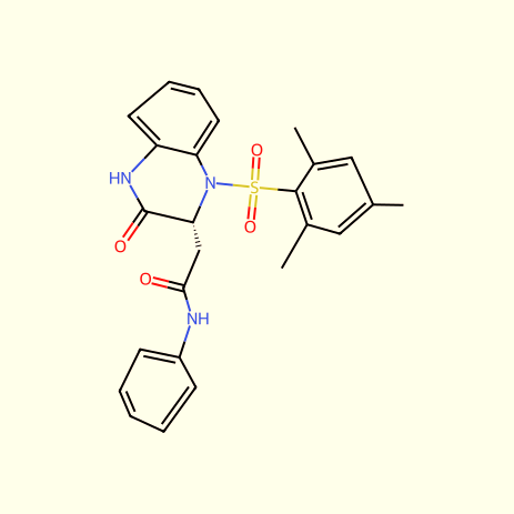 Cc1cc(C)c(S(=O)(=O)N2c3ccccc3NC(=O)[C@H]2CC(=O)Nc2ccccc2)c(C)c1